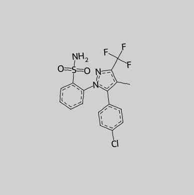 Cc1c(C(F)(F)F)nn(-c2ccccc2S(N)(=O)=O)c1-c1ccc(Cl)cc1